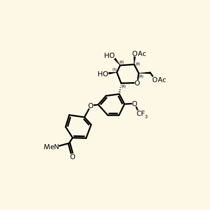 CNC(=O)c1ccc(Oc2ccc(OC(F)(F)F)c([C@H]3O[C@H](COC(C)=O)[C@H](OC(C)=O)[C@H](O)[C@@H]3O)c2)cc1